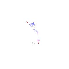 CC(C)(C)OC(=O)NCCCCCC(=O)N1CCN(c2ccc(-c3cnc(NCc4ccco4)n4cnnc34)cc2)CC1